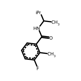 Cc1c(F)cccc1C(=O)NC(C)C(C)C